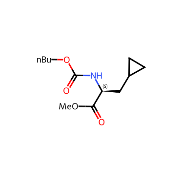 CCCCOC(=O)N[C@@H](CC1CC1)C(=O)OC